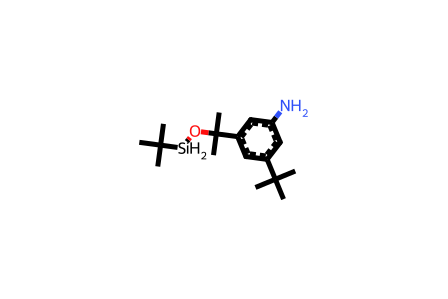 CC(C)(C)[SiH2]OC(C)(C)c1cc(N)cc(C(C)(C)C)c1